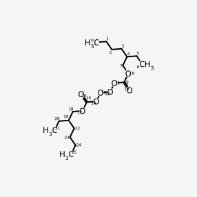 CCCCC(CC)COC(=O)OOOOC(=O)OCC(CC)CCCC